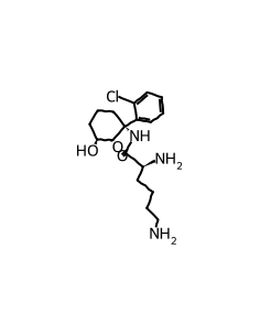 NCCCC[C@H](N)C(=O)N[C@@]1(c2ccccc2Cl)CCC[C@H](O)C1=O